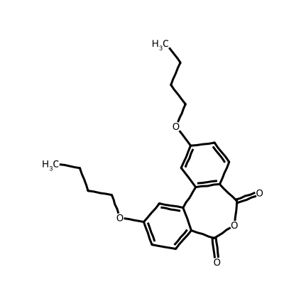 CCCCOc1ccc2c(=O)oc(=O)c3ccc(OCCCC)cc3c2c1